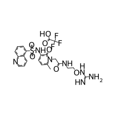 Cc1ccc(NS(=O)(=O)c2cccc3ncccc23)c(=O)n1CC(=O)NCCONC(=N)N.O=C(O)C(F)(F)F